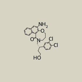 Nc1cc2ccccc2c2c1OCCCN(C[C@@H](CCO)c1ccc(Cl)c(Cl)c1)C2=O